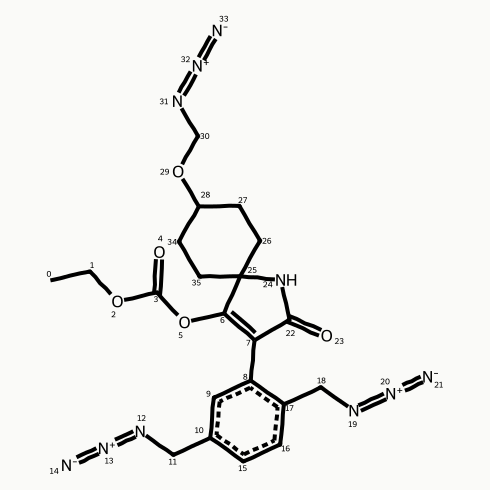 CCOC(=O)OC1=C(c2cc(CN=[N+]=[N-])ccc2CN=[N+]=[N-])C(=O)NC12CCC(OCN=[N+]=[N-])CC2